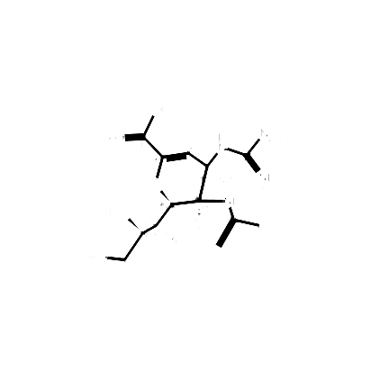 C=C(C)N[C@@]1(O)[C@@H]([C@H](O)[C@H](O)CO)OC(C(=O)O)=C[C@@]1(O)NC(=N)N